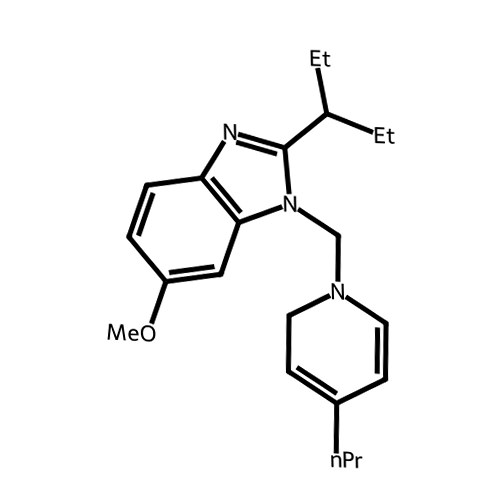 CCCC1=CCN(Cn2c(C(CC)CC)nc3ccc(OC)cc32)C=C1